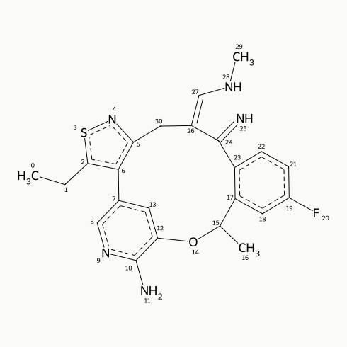 CCc1snc2c1-c1cnc(N)c(c1)OC(C)c1cc(F)ccc1C(=N)/C(=C\NC)C2